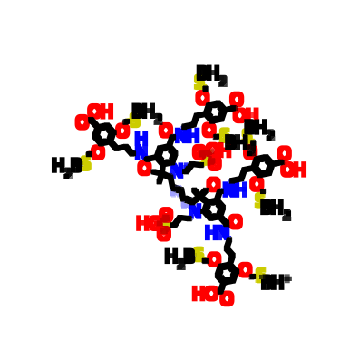 [BH+]SCOc1cc(C(=O)O)cc(OCSB)c1CCCNC(=O)c1cc(C(=O)NCCCc2c(OCSB)cc(C(=O)O)cc2OCSB)c2c(c1)N(CCCS(=O)(=O)O)/C(=C/C=C/C1=[N+](CCCS(=O)(=O)O)c3cc(C(=O)NCCCc4c(OCSB)cc(C(=O)O)cc4OCSB)cc(C(=O)NCCCc4c(OCSB)cc(C(=O)O)cc4OCSB)c3C1(C)C)C2(C)C